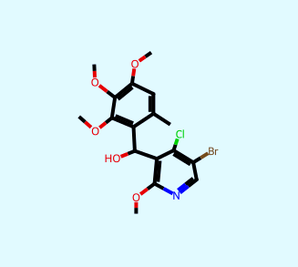 COc1cc(C)c(C(O)c2c(OC)ncc(Br)c2Cl)c(OC)c1OC